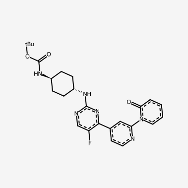 CC(C)(C)OC(=O)N[C@H]1CC[C@H](Nc2ncc(F)c(-c3ccnc(-n4ccccc4=O)c3)n2)CC1